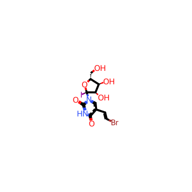 O=c1[nH]c(=O)n([C@]2(I)O[C@H](CO)[C@@H](O)[C@H]2O)cc1/C=C/Br